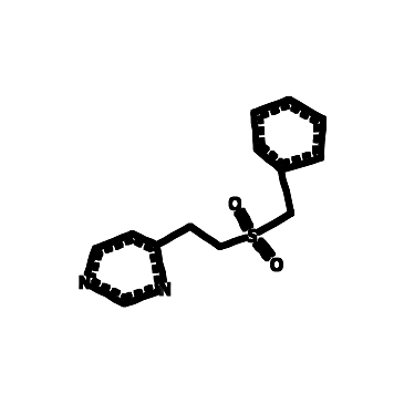 O=S(=O)(CCc1ccncn1)Cc1ccccc1